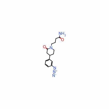 [N-]=[N+]=Nc1cccc(C2CCN(CCCC(N)=O)C(=O)C2)c1